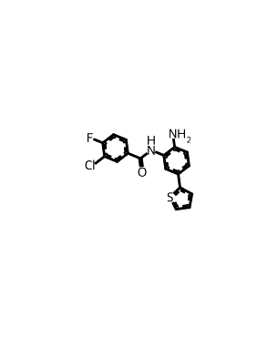 Nc1ccc(-c2cccs2)cc1NC(=O)c1ccc(F)c(Cl)c1